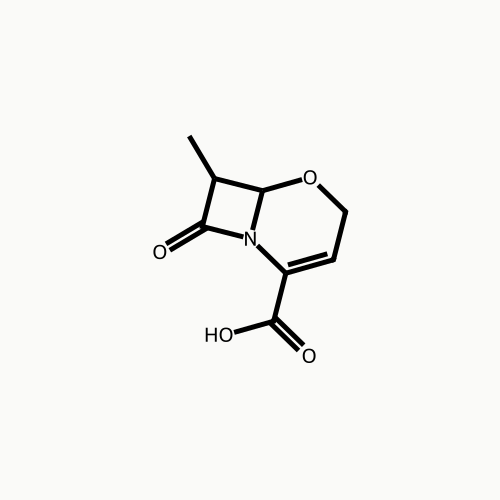 CC1C(=O)N2C(C(=O)O)=CCOC12